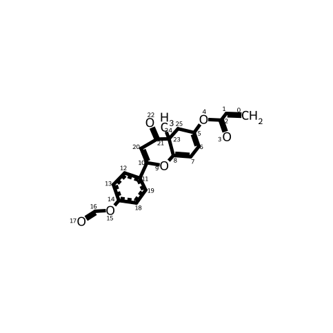 C=CC(=O)OC1=CC=C2OC(c3ccc(OC=O)cc3)=CC(=O)C2(C)C1